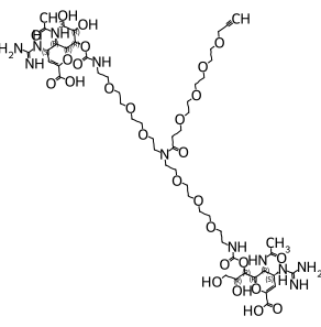 C#CCOCCOCCOCCOCCC(=O)N(CCOCCOCCOCCNC(=O)O[C@@H]([C@@H]1OC(C(=O)O)=C[C@H](NC(=N)N)[C@H]1NC(C)=O)[C@H](O)CO)CCOCCOCCOCCNC(=O)O[C@@H]([C@@H]1OC(C(=O)O)=C[C@H](NC(=N)N)[C@H]1NC(C)=O)[C@H](O)CO